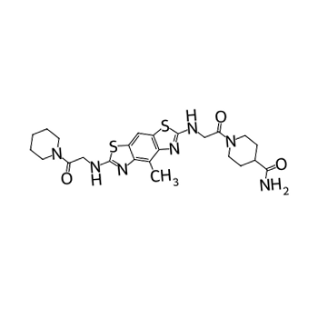 Cc1c2nc(NCC(=O)N3CCCCC3)sc2cc2sc(NCC(=O)N3CCC(C(N)=O)CC3)nc12